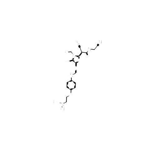 CCn1c(=O)c(=C=CNc2ccc(OCCN(C)C)cc2)s/c1=C(/C#N)C(=O)NCC#N